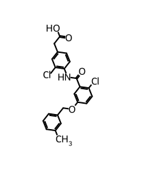 Cc1cccc(COc2ccc(Cl)c(C(=O)Nc3ccc(CC(=O)O)cc3Cl)c2)c1